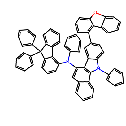 c1ccc(N(c2cccc3c2-c2ccccc2C3(c2ccccc2)c2ccccc2)c2cc3ccccc3c3c2c2cc(-c4cccc5oc6ccccc6c45)ccc2n3-c2ccccc2)cc1